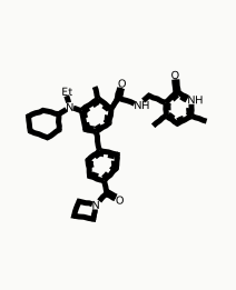 CCN(c1cc(-c2ccc(C(=O)N3CCC3)cc2)cc(C(=O)NCc2c(C)cc(C)[nH]c2=O)c1C)C1CCCCC1